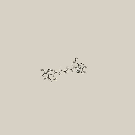 CCC(C)C(O)(CCCCCCCCC(O)(C(C)C)C(C)CC)C(C)C